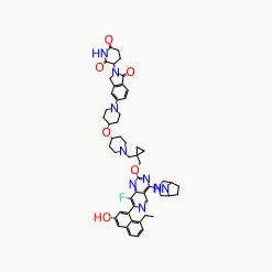 CCc1cccc2cc(O)cc(-c3ncc4c(N5CC6CCC(C5)N6)nc(OCC5(CN6CCC(OC7CCN(c8ccc9c(c8)CN(C8CCC(=O)NC8=O)C9=O)CC7)CC6)CC5)nc4c3F)c12